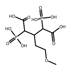 COCCC(C(C(=O)O)P(=O)(O)O)C(C(=O)O)P(=O)(O)O